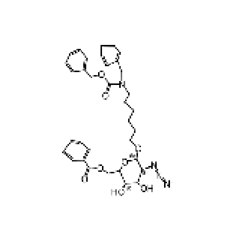 [N-]=[N+]=N[C@H]1C(O)[C@@H](O)C(COC(=O)c2ccccc2)O[C@H]1OCCCCCCN(Cc1ccccc1)C(=O)OCc1ccccc1